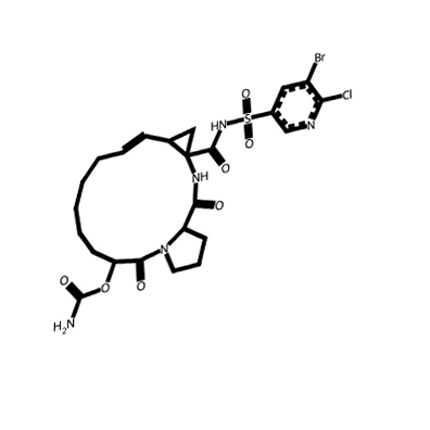 NC(=O)OC1CCCCC/C=C/C2CC2(C(=O)NS(=O)(=O)c2cnc(Cl)c(Br)c2)NC(=O)C2CCCN2C1=O